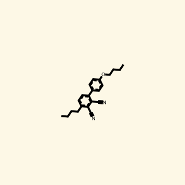 CCCCOc1ccc(-c2ccc(CCCC)c(C#N)c2C#N)cc1